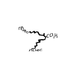 CCCCCCCCCCCCCCCCCCC(C(=O)O)C(C)CCCCCCCCCCCCCCCC